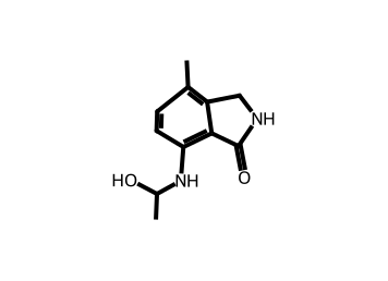 Cc1ccc(NC(C)O)c2c1CNC2=O